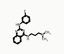 CN(C)CCCNc1nc(Nc2cccc(F)c2)nc2ccccc12